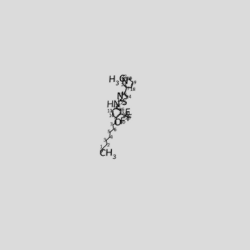 CCCCCCCCOc1ccc(Nc2nc(-c3ccc[n+](C)c3)cs2)cc1C(F)(F)F